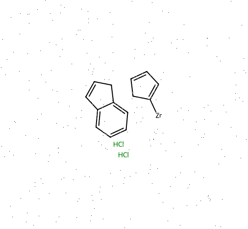 C1=Cc2ccccc2C1.Cl.Cl.[Zr][C]1=CC=CC1